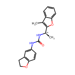 Cc1c([C@@H](C)NC(=O)Nc2ccc3c(c2)CCO3)oc2ccccc12